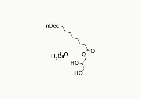 CCCCCCCCCCCCCCCCCC(=O)OCC(O)CO.O.[CaH2]